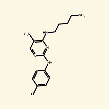 NCCCCNc1nc(Nc2ccc(Cl)cc2)ncc1[N+](=O)[O-]